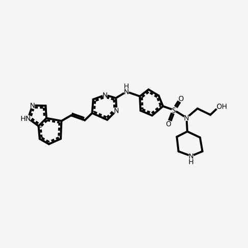 O=S(=O)(c1ccc(Nc2ncc(/C=C/c3cccc4[nH]ncc34)cn2)cc1)N(CCO)C1CCNCC1